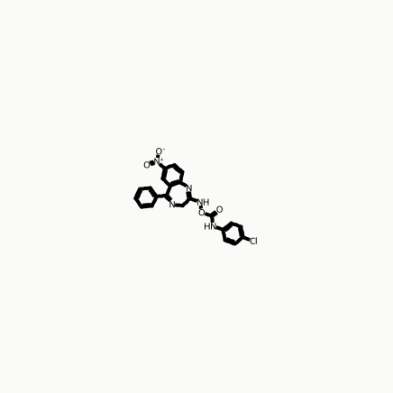 O=C(Nc1ccc(Cl)cc1)ONC1=Nc2ccc([N+](=O)[O-])cc2C(c2ccccc2)=NC1